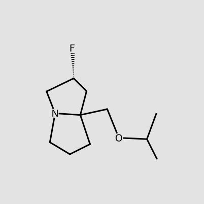 CC(C)OCC12CCCN1C[C@H](F)C2